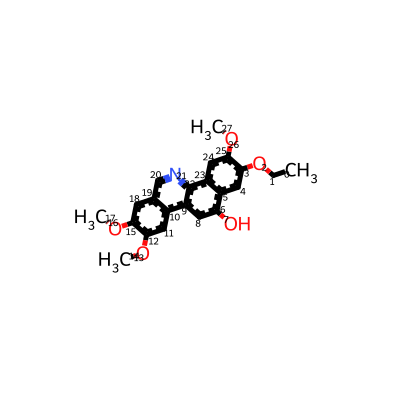 CCOc1cc2c(O)cc3c4cc(OC)c(OC)cc4cnc3c2cc1OC